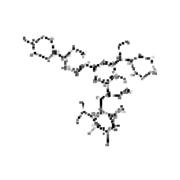 CCN(c1cc(-c2ccc(N3CCN(C)CC3)nc2)cc(N(C=O)Cc2c(C(C)C)c(F)c(C)[nH]c2=O)c1C)C1CCOCC1